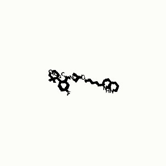 CC1(C)COCCC1c1ccc(F)cc1C(C(=O)O)N1CC(OCCCCCc2ccc3c(n2)NCCC3)C1